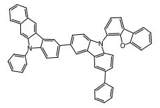 c1ccc(-c2ccc3c(c2)c2cc(-c4ccc5c(c4)c4cc6ccccc6cc4n5-c4ccccc4)ccc2n3-c2cccc3c2oc2ccccc23)cc1